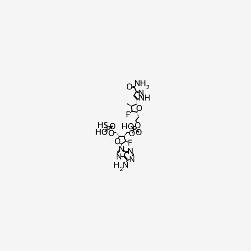 C[C@@H]1[C@H](F)[C@@H](CCOP(=O)(O)OC[C@H]2[C@@H](F)[C@H](n3cnc4c(N)ncnc43)O[C@@H]2COP(=O)(O)S)O[C@H]1c1cc(C(N)=O)n[nH]1